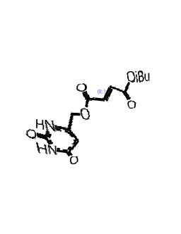 CC(C)COC(=O)/C=C/C(=O)OCc1cc(=O)[nH]c(=O)[nH]1